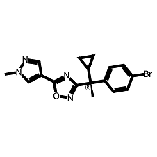 Cn1cc(-c2nc([C@@](C)(c3ccc(Br)cc3)C3CC3)no2)cn1